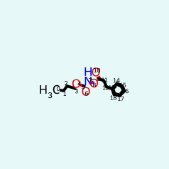 CCCCOC(=O)NOC(=O)CCc1ccccc1